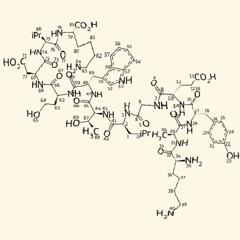 CC(C)C[C@H](NC(=O)CNC(=O)[C@H](CCC(=O)O)NC(=O)[C@H](Cc1ccc(O)cc1)NC(=O)[C@H](C)NC(=O)[C@@H](N)CCCCN)C(=O)N[C@H](C(=O)N[C@@H](Cc1c[nH]c2ccccc12)C(=O)N[C@@H](CCO)C(=O)N[C@@H](CC(=O)O)C(=O)N[C@H](C(=O)N[C@@H](CCCCN)C(=O)O)C(C)C)[C@@H](C)O